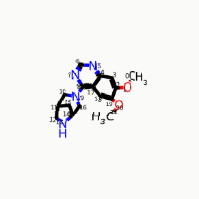 COc1cc2ncnc(N3CC4CNC(C4)C3)c2cc1OC